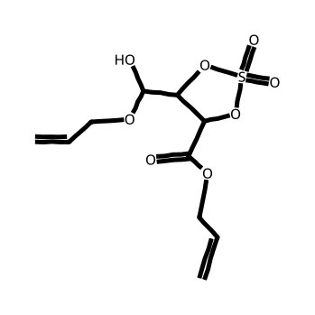 C=CCOC(=O)C1OS(=O)(=O)OC1C(O)OCC=C